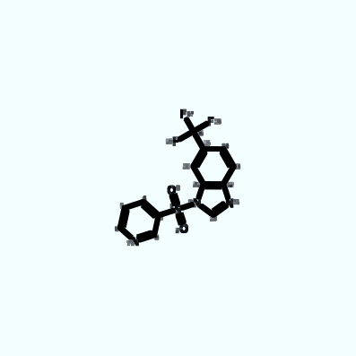 O=S(=O)(c1cccnc1)n1cnc2ccc(C(F)(F)F)cc21